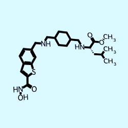 COC(=O)[C@H](CC(C)C)NCC1CCC(CNCc2ccc3cc(C(=O)NO)sc3c2)CC1